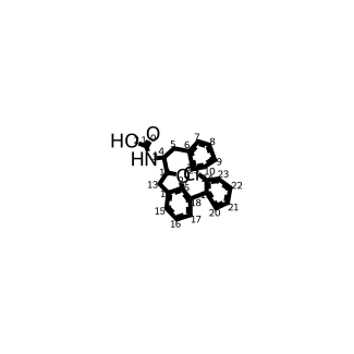 O=C(O)NC(Cc1ccccc1)C1Cc2cccc(-c3ccccc3Cl)c2O1